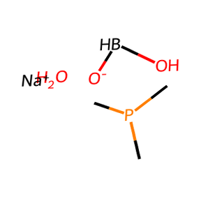 CP(C)C.O.[Na+].[O-]BO